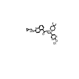 CCOc1ncc(C(CNC(=O)c2cccc3nc(NCC4CC4)ccc23)N2CCC(F)(F)CC2)cn1